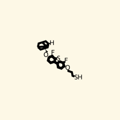 Fc1c(OCCCS)ccc2c1sc1c(F)c(OC[C@]34CC5CC(C[C@H](C5)C3)C4)ccc12